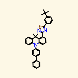 CC(C)(C)c1cccc(-c2nc(-c3cccc4c3C(C)(C)c3ccccc3N4c3ccc(-c4ccccc4)cc3)ns2)c1